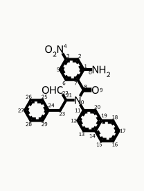 Nc1cc([N+](=O)[O-])ccc1C(=O)N(c1ccc2ccccc2c1)C(C=O)Cc1ccccc1